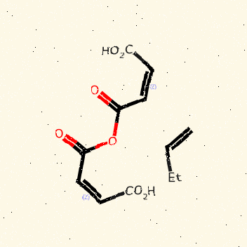 C=CCC.O=C(O)/C=C\C(=O)OC(=O)/C=C\C(=O)O